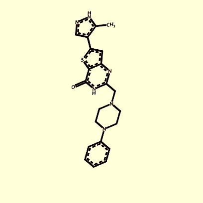 Cc1[nH]ncc1-c1cc2nc(CN3CCN(c4ccccc4)CC3)[nH]c(=O)c2s1